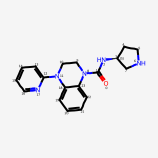 O=C(N[C@H]1CCNC1)N1CCN(c2ccccn2)c2ccccc21